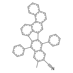 Cc1cc2c(-c3ccccc3)c3c(c(-c4ccccc4)c2cc1C#N)-c1cc2ccc4ccccc4c2c2cccc-3c12